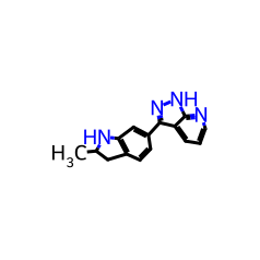 CC1Cc2ccc(-c3n[nH]c4ncccc34)cc2N1